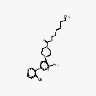 CCCCCCCCC(=O)N1CCN(c2cc(-c3ccccc3O)nnc2N)CC1